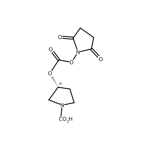 O=C(O[C@@H]1CCN(C(=O)O)C1)ON1C(=O)CCC1=O